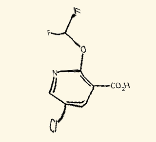 O=C(O)c1cc(Cl)cnc1OC(F)F